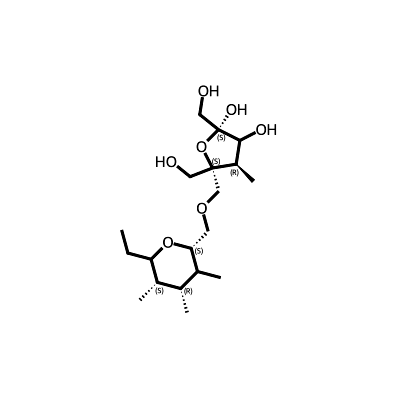 CCC1O[C@H](COC[C@]2(CO)O[C@@](O)(CO)C(O)[C@H]2C)C(C)[C@H](C)[C@@H]1C